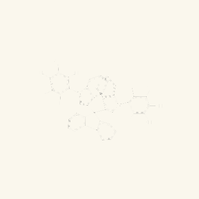 [2H]c1c([2H])c([2H])c(-n2cc(C3(c4cn(-c5c([2H])c([2H])c([2H])c([2H])c5[2H])c5ccccc45)c4ccccc4-c4ccccc43)c3ccccc32)c([2H])c1[2H]